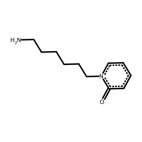 NCCCCCCn1ccccc1=O